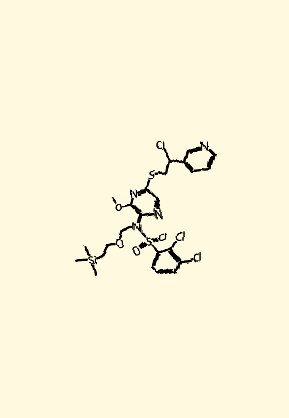 COc1nc(SCC(Cl)c2cccnc2)cnc1N(COCC[Si](C)(C)C)S(=O)(=O)c1cccc(Cl)c1Cl